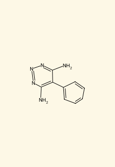 Nc1nnnc(N)c1-c1ccccc1